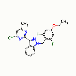 CCOc1cc(F)c(Cn2nc(-c3nc(C)cc(Cl)n3)c3ccccc32)c(F)c1